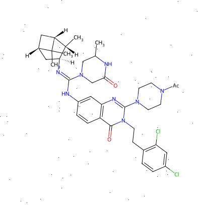 CC(=O)N1CCN(c2nc3cc(N/C(=N/[C@H]4C[C@@H]5C[C@H]([C@@H]4C)C5(C)C)N4CC(=O)NC(C)C4)ccc3c(=O)n2CCc2ccc(Cl)cc2Cl)CC1